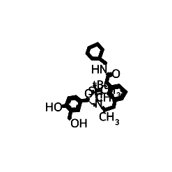 C[C@H](Cc1cccc(CC(=O)NCC2CCCCC2)c1)NC[C@@H](O[Si](C)(C)C(C)(C)C)c1ccc(O)c(CO)c1